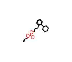 C=CCOC(=O)OCCCc1ccccc1C1CCCCC1